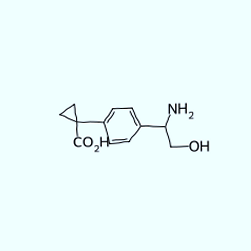 NC(CO)c1ccc(C2(C(=O)O)CC2)cc1